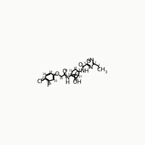 CCc1noc(C(=O)NC23CCC(NC(=O)COc4ccc(Cl)c(F)c4)(CC2)C(O)C3)n1